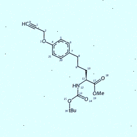 C#CCOc1ccc(CCC[C@H](NC(=O)OC(C)(C)C)C(=O)OC)cc1